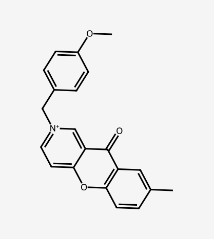 COc1ccc(C[n+]2ccc3oc4ccc(C)cc4c(=O)c3c2)cc1